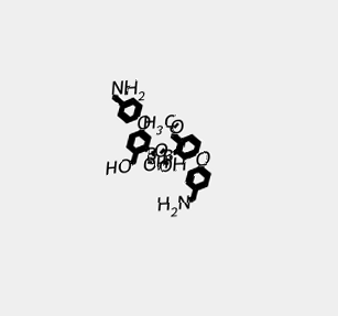 COCc1ccc(Oc2ccc(CN)cc2)cc1B(O)OB(O)c1cc(Oc2ccc(CN)cc2)ccc1CO